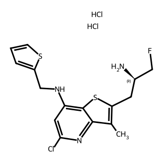 Cc1c(C[C@@H](N)CF)sc2c(NCc3cccs3)cc(Cl)nc12.Cl.Cl